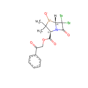 CC1(C)[C@H](C(=O)OCC(=O)c2ccccc2)N2C(=O)C(Br)(Br)[C@H]2[S+]1[O-]